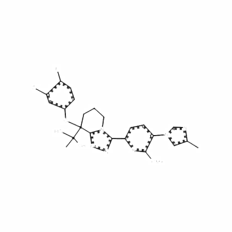 COc1nc(-c2nnc3n2CCCC3(Oc2ccc(F)c(F)c2)C(C)(O)O)ccc1-n1cnc(C)c1